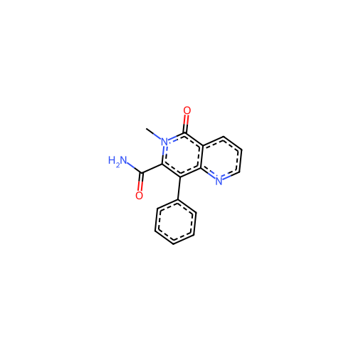 Cn1c(C(N)=O)c(-c2ccccc2)c2ncccc2c1=O